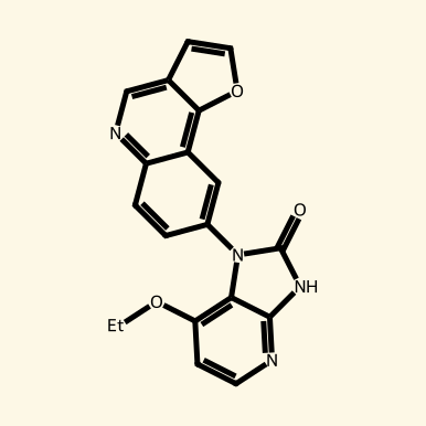 CCOc1ccnc2[nH]c(=O)n(-c3ccc4ncc5ccoc5c4c3)c12